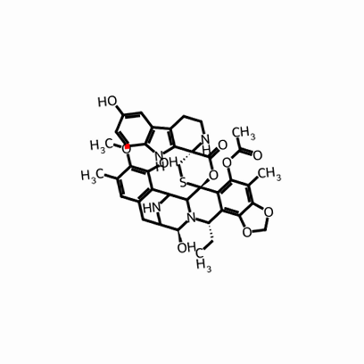 CC[C@H]1c2c3c(c(C)c(OC(C)=O)c2[C@]2(OC(=O)[C@]4(CS2)NCCc2c4[nH]c4ccc(O)cc24)C2C4NC(Cc5cc(C)c(OC)c(O)c54)[C@H](O)N21)OCO3